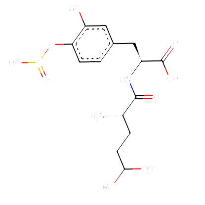 N[C@@H](CCC(O)O)C(=O)N[C@@H](Cc1ccc(OS(=O)O)c(O)c1)C(=O)O